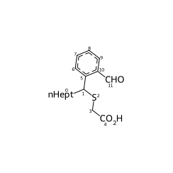 CCCCCCCC(SCC(=O)O)c1ccccc1C=O